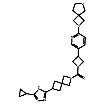 O=C(N1CC(c2ccc(N3CC4(CCOC4)C3)nc2)C1)N1CC2(CC(c3nnc(C4CC4)[nH]3)C2)C1